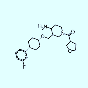 NC1CCN(C(=O)C2CCOC2)CC1CO[C@H]1CC[C@@H](c2cccc(F)c2)CC1